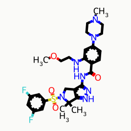 COCCNc1cc(N2CCN(C)CC2)ccc1C(=O)Nc1n[nH]c2c1CN(S(=O)(=O)c1cc(F)cc(F)c1)C2(C)C